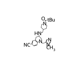 Cn1cncc1CN1CC(NCC2CCN(C(=O)C(C)(C)C)CC2)Cc2cc(C#N)ccc21